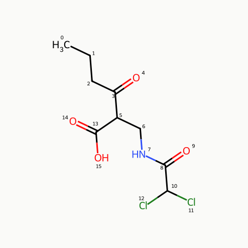 CCCC(=O)C(CNC(=O)C(Cl)Cl)C(=O)O